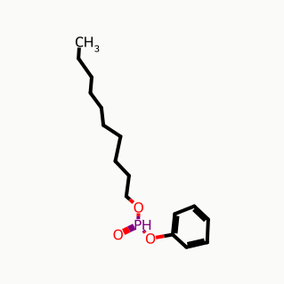 CCCCCCCCCCO[PH](=O)Oc1ccccc1